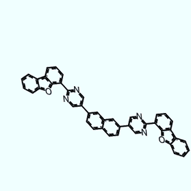 c1ccc2c(c1)oc1c(-c3ncc(-c4ccc5ccc(-c6cnc(-c7cccc8c7oc7ccccc78)nc6)cc5c4)cn3)cccc12